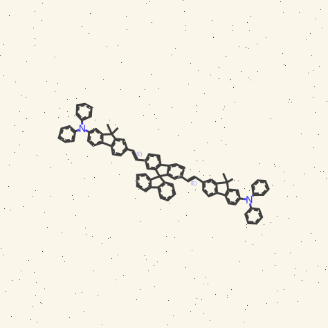 CC1(C)c2cc(/C=C/c3ccc4c(c3)C3(c5ccccc5-c5ccccc53)c3cc(/C=C/c5ccc6c(c5)C(C)(C)c5cc(N(c7ccccc7)c7ccccc7)ccc5-6)ccc3-4)ccc2-c2ccc(N(c3ccccc3)c3ccccc3)cc21